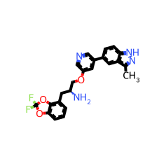 Cc1n[nH]c2ccc(-c3cncc(OC[C@@H](N)Cc4cccc5c4OC(F)(F)O5)c3)cc12